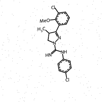 COc1c(Cl)cccc1C1=NN(C(=N)Nc2ccc(Cl)cc2)CC1C